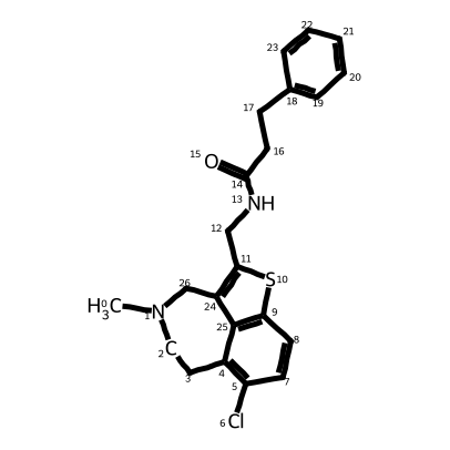 CN1CCc2c(Cl)ccc3sc(CNC(=O)CCc4ccccc4)c(c23)C1